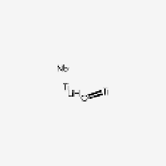 [LiH].[Nb].[O]=[Ti].[Ti]